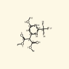 COC(=O)C(C(=O)OC)c1cc(OC)nc(C(F)(F)F)n1